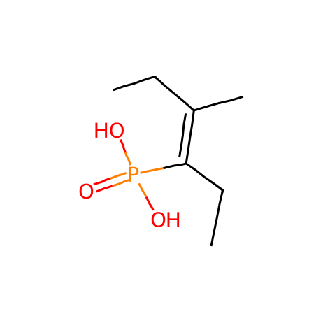 CCC(C)=C(CC)P(=O)(O)O